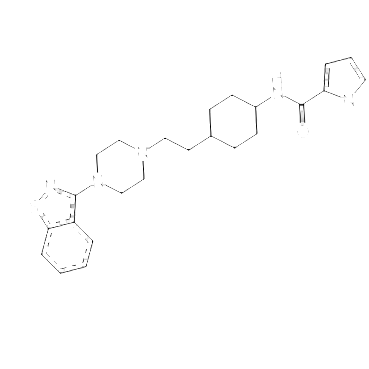 O=C(NC1CCC(CCN2CCN(c3nsc4ccccc34)CC2)CC1)C1=CC=C[N]1